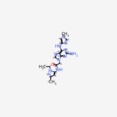 CCn1nc(C)cc1NC(=O)Cn1cnc2c(Nc3cn(C)cn3)nc(N)nc21